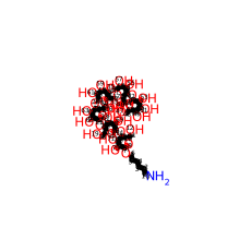 NCCCCCCO[C@H]1OC(CO)[C@H](O[C@H]2OC(CO)[C@@H](O[C@@H]3OC(CO)[C@@H](O[C@@H]4OC(CO)[C@@H](O[C@H]5OC(CO)[C@H](O[C@H]6OC(CO)[C@@H](O)[C@H](O)C6O)[C@H](O)C5O)C(O)[C@@H]4O)C(O)[C@@H]3O)[C@H](O)C2O)[C@H](O)C1O